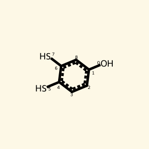 Oc1ccc(S)c(S)c1